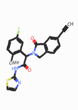 C#Cc1ccc2c(c1)C(=O)N(C(C(=O)Nc1nccs1)c1cc(F)ccc1OC)C2